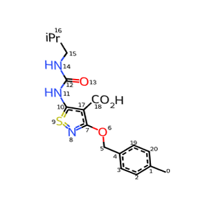 Cc1ccc(COc2nsc(NC(=O)NCC(C)C)c2C(=O)O)cc1